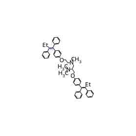 CCC(=C(c1ccccc1)c1ccc(OCC(CN(C)CCOc2ccc(/C(=C(/CC)c3ccccc3)c3ccccc3)cc2)N(C)C)cc1)c1ccccc1